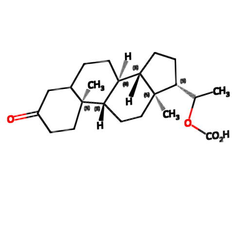 CC(OC(=O)O)[C@H]1CC[C@H]2[C@@H]3CCC4CC(=O)CC[C@]4(C)[C@H]3CC[C@]12C